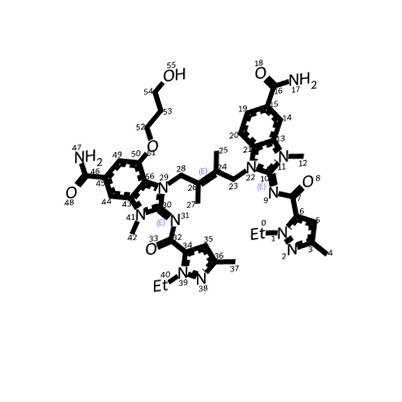 CCn1nc(C)cc1C(=O)/N=c1\n(C)c2cc(C(N)=O)ccc2n1C/C(C)=C(\C)Cn1/c(=N/C(=O)c2cc(C)nn2CC)n(C)c2cc(C(N)=O)cc(OCCCO)c21